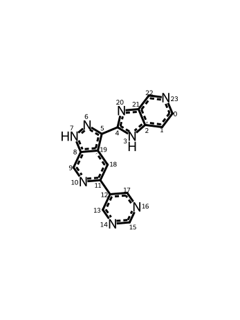 c1cc2[nH]c(-c3n[nH]c4cnc(-c5cncnc5)cc34)nc2cn1